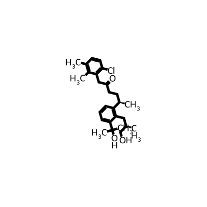 Cc1ccc(Cl)c(CC(=O)CC[C@@H](C)c2cccc(C(C)(C)O)c2C[C@@H](C)CO)c1C